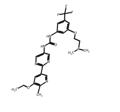 CCOc1cc(-c2ncc(NC(=O)Nc3cc(OCCN(C)C)cc(C(F)(F)F)c3)cn2)cnc1C